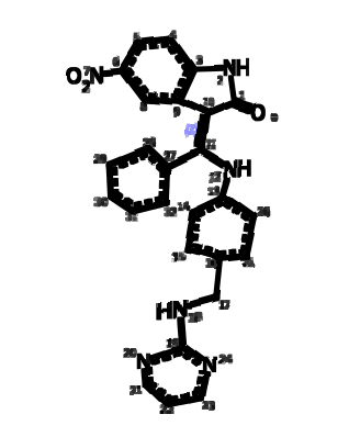 O=C1Nc2ccc([N+](=O)[O-])cc2/C1=C(/Nc1ccc(CNc2ncccn2)cc1)c1ccccc1